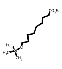 CCOC(=O)CCCCCCCCO[Si](C)(C)C